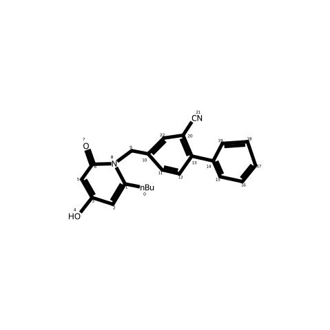 CCCCc1cc(O)cc(=O)n1Cc1ccc(-c2ccccc2)c(C#N)c1